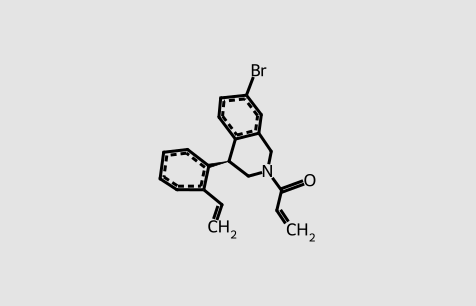 C=CC(=O)N1Cc2cc(Br)ccc2[C@H](c2ccccc2C=C)C1